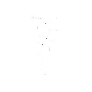 CC(=O)SCCC(F)(F)C(F)(F)C(F)C(F)(F)CF